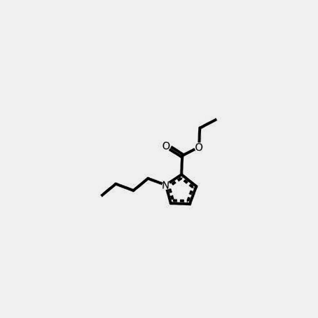 CCCCn1cccc1C(=O)OCC